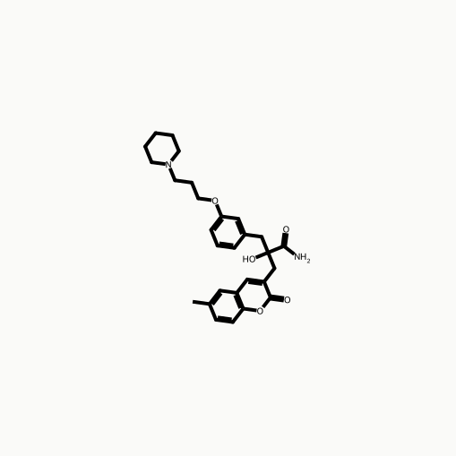 Cc1ccc2oc(=O)c(CC(O)(Cc3cccc(OCCCN4CCCCC4)c3)C(N)=O)cc2c1